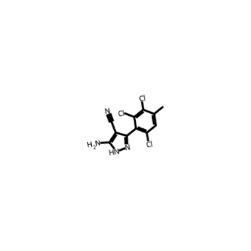 Cc1cc(Cl)c(-c2n[nH]c(N)c2C#N)c(Cl)c1Cl